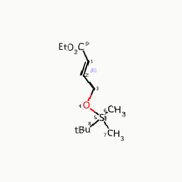 CCOC(=O)/C=C/CO[Si](C)(C)C(C)(C)C